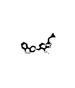 COc1ccccc1C1CCN(Cc2ccn3c(CC4CC4)nnc3c2C(F)(F)F)CC1